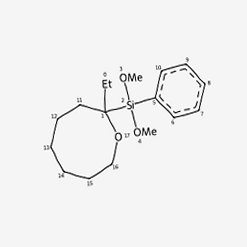 CCC1([Si](OC)(OC)c2ccccc2)CCCCCCO1